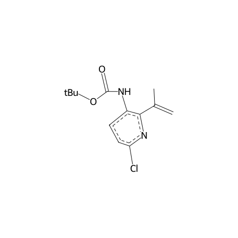 C=C(C)c1nc(Cl)ccc1NC(=O)OC(C)(C)C